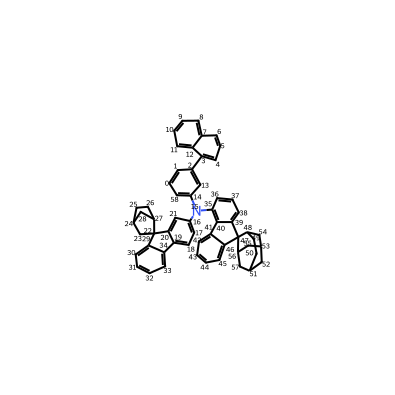 c1cc(-c2cccc3ccccc23)cc(N(c2ccc3c(c2)C2(CC4CCC2C4)c2ccccc2-3)c2cccc3c2-c2ccccc2C32C3CCC4CC(C3)CC2C4)c1